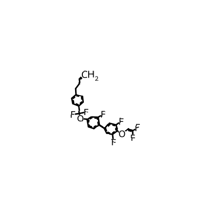 C=CCCc1ccc(C(F)(F)Oc2ccc(-c3cc(F)c(OC=C(F)F)c(F)c3)c(F)c2)cc1